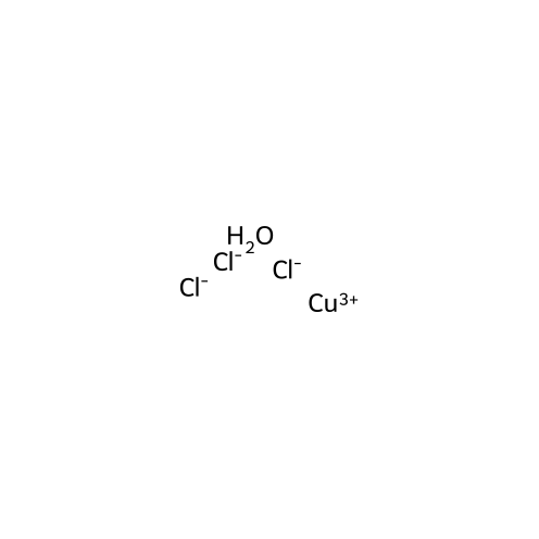 O.[Cl-].[Cl-].[Cl-].[Cu+3]